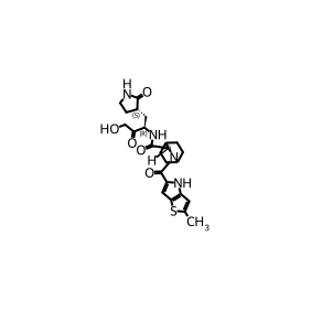 Cc1cc2[nH]c(C(=O)N3C4CCC(CC4)[C@H]3C(=O)N[C@H](C[C@@H]3CCNC3=O)C(=O)CO)cc2s1